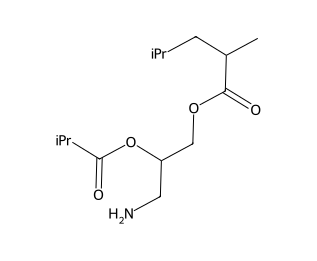 CC(C)CC(C)C(=O)OCC(CN)OC(=O)C(C)C